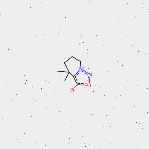 CC1(C)CCC[n+]2noc([O-])c21